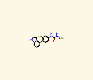 CNC(=O)Nc1ccc(-c2cccc3[nH]ccc23)c(Cl)c1